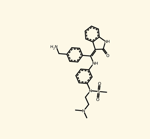 CN(C)CCN(c1cccc(N/C(=C2\C(=O)Nc3ccccc32)c2ccc(CN)cc2)c1)S(C)(=O)=O